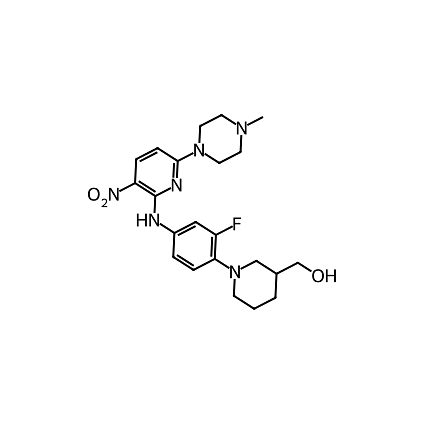 CN1CCN(c2ccc([N+](=O)[O-])c(Nc3ccc(N4CCCC(CO)C4)c(F)c3)n2)CC1